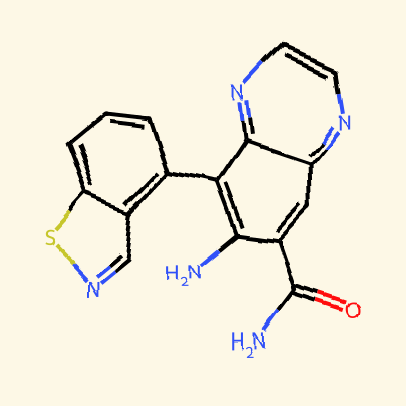 NC(=O)c1cc2nccnc2c(-c2cccc3sncc23)c1N